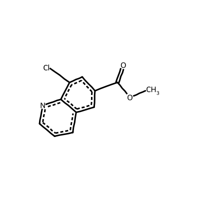 COC(=O)c1cc(Cl)c2ncccc2c1